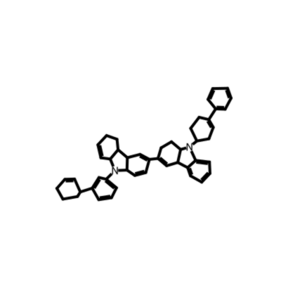 C1=CC(c2cccc(N3C4C=CC(C5=CC6c7ccccc7N(C7CC=C(c8ccccc8)CC7)C6CC5)=CC4C4CCC=CC43)c2)CCC1